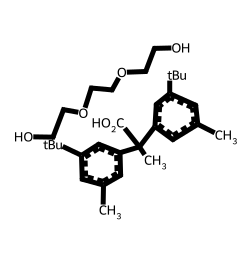 Cc1cc(C(C)(C)C)cc(C(C)(C(=O)O)c2cc(C)cc(C(C)(C)C)c2)c1.OCCOCCOCCO